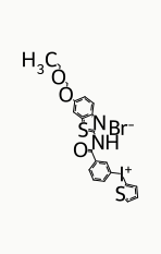 CCOCOc1ccc2nc(NC(=O)c3cccc([I+]c4cccs4)c3)sc2c1.[Br-]